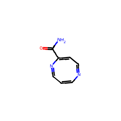 NC(=O)C1=CC=NC=CC=N1